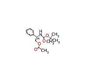 CC(=O)OC[C@H](NC(=O)OC(C)(C)C)c1ccccc1